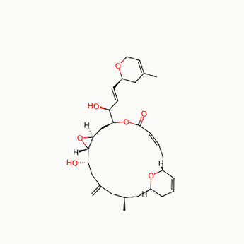 C=C1C[C@H](C)C[C@@H]2CC=C[C@@H](C/C=C\C(=O)O[C@H]([C@@H](O)/C=C/[C@@H]3CC(C)=CCO3)C[C@@H]3O[C@H]3[C@@H](O)C1)O2